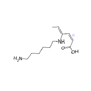 CC=C(/C=C\C(=O)O)NCCCCCCN